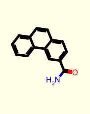 NC(=O)c1ccc2ccc3ccccc3c2c1